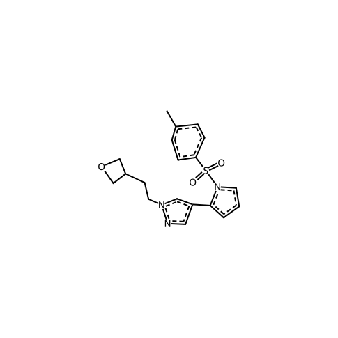 Cc1ccc(S(=O)(=O)n2cccc2-c2cnn(CCC3COC3)c2)cc1